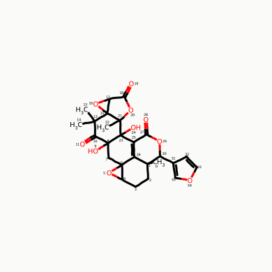 CC12CCC3OC34CC3(O)C(=O)C(C)(C)C56OC5C(=O)OC6(C)C3(O)C(=C14)C(=O)OC2c1ccoc1